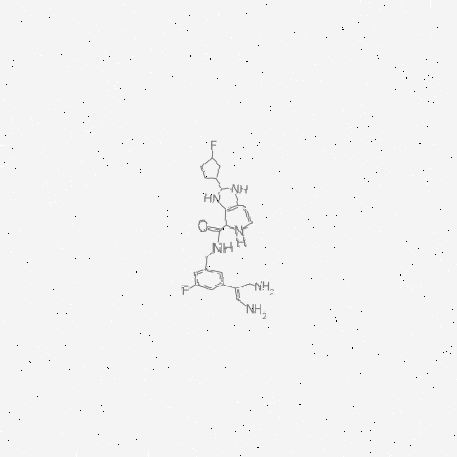 N/C=C(\CN)c1cc(F)cc(CNC(=O)C2NC=CC3=C2NC(C2CCC(F)C2)N3)c1